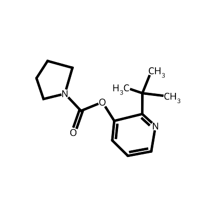 CC(C)(C)c1ncccc1OC(=O)N1CCCC1